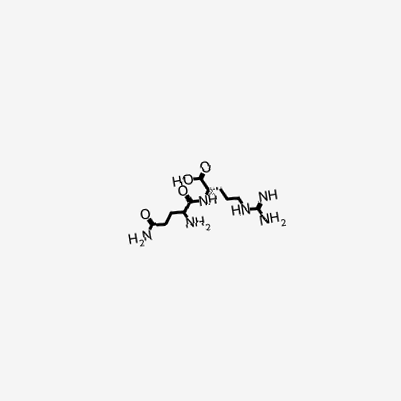 N=C(N)NCCC[C@H](NC(=O)C(N)CCC(N)=O)C(=O)O